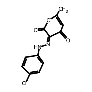 CC1=CC(=O)C(=NNc2ccc(Cl)cc2)C(=O)O1